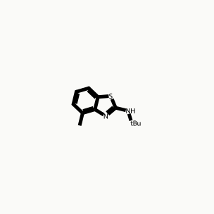 Cc1cccc2sc(NC(C)(C)C)nc12